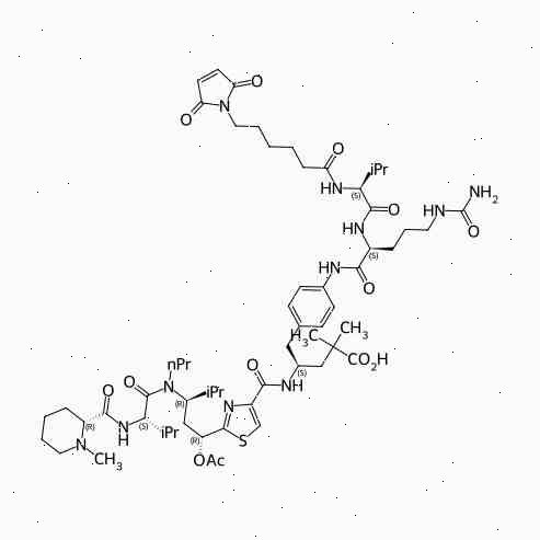 CCCN(C(=O)[C@@H](NC(=O)[C@H]1CCCCN1C)C(C)C)[C@H](C[C@@H](OC(C)=O)c1nc(C(=O)N[C@@H](Cc2ccc(NC(=O)[C@H](CCCNC(N)=O)NC(=O)[C@@H](NC(=O)CCCCCN3C(=O)C=CC3=O)C(C)C)cc2)CC(C)(C)C(=O)O)cs1)C(C)C